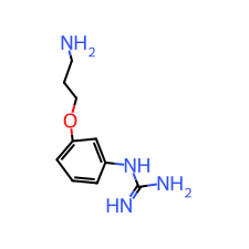 N=C(N)Nc1cccc(OCCCN)c1